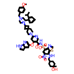 COc1ccc(CN2CCN(C3CC4(CCN(c5cc(Oc6cnc7[nH]ccc7c6)c(C(=O)NS(=O)(=O)c6cc([N+](=O)[O-])c(NCC7CCC(C)(O)CC7)c7scnc67)cn5)CC4)C3)C(c3ccccc3C(C)C)C2)cc1